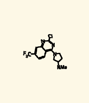 CNC1CCN(c2nc(Cl)nc3cc(C(F)(F)F)ccc23)C1